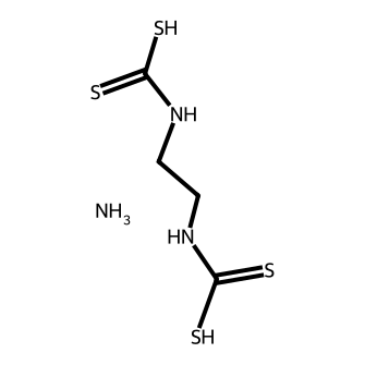 N.S=C(S)NCCNC(=S)S